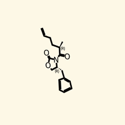 C=CCC[C@@H](C)C(=O)N1C(=O)OC[C@H]1Cc1ccccc1